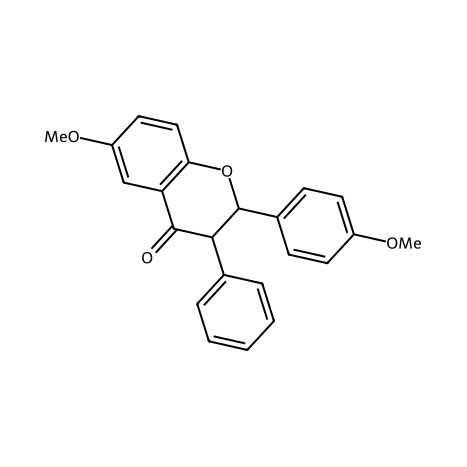 COc1ccc(C2Oc3ccc(OC)cc3C(=O)C2c2ccccc2)cc1